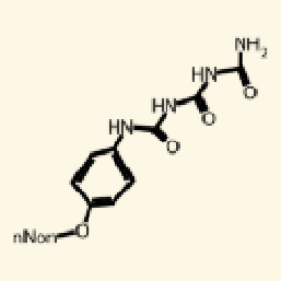 CCCCCCCCCOc1ccc(NC(=O)NC(=O)NC(N)=O)cc1